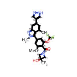 COc1cc(-c2c3c(C#N)cc(-c4cn[nH]c4)cc3nn2C)cc(OC(F)F)c1C(=O)N1CC(O)(C(F)(F)F)C1